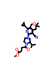 COC(=O)CCC(=O)N1CCN(c2nc(C3CC3)c3c(c2C#N)CC(C)(C)OC3)CC1C(C)C